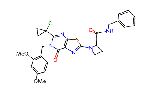 COc1ccc(Cn2c(C3(Cl)CC3)nc3sc(N4CCC4C(=O)NCc4ccccc4)nc3c2=O)c(OC)c1